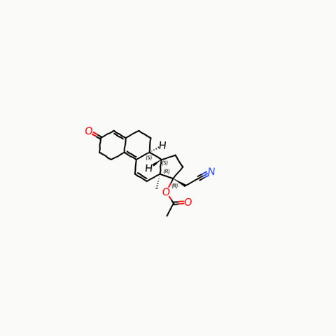 CC(=O)O[C@@]1(CC#N)CC[C@H]2[C@@H]3CCC4=CC(=O)CCC4=C3C=C[C@@]21C